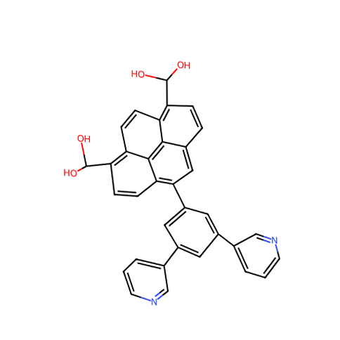 OC(O)c1ccc2cc(-c3cc(-c4cccnc4)cc(-c4cccnc4)c3)c3ccc(C(O)O)c4ccc1c2c34